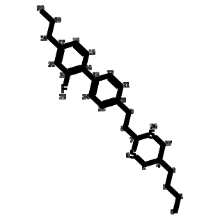 CCCCC1CSC(CCc2ccc(-c3ccc(CCC)cc3F)cc2)SC1